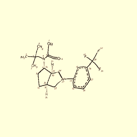 CC(C)(C)N(C(=O)O)[C@H]1CC[C@@H]2CN(c3cccc(C(F)(F)F)c3)C[C@@H]21